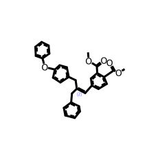 COC(=O)c1ccc(/C=C(/Cc2ccccc2)Cc2ccc(Oc3ccccc3)cc2)cc1C(=O)OC